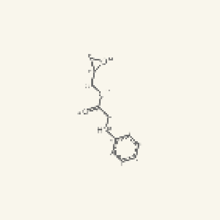 O=C(CNc1ccccc1)OCC1CO1